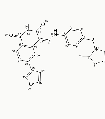 CC1CCCN1Cc1ccc(NC=C2C(=O)NC(=O)c3ccc(-c4ccoc4)cc32)cc1